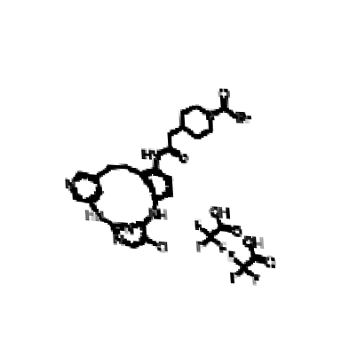 CC(C)C(=O)N1CCC(CC(=O)Nc2ccc3cc2CCc2cncc(c2)Nc2ncc(Cl)c(n2)N3)CC1.O=C(O)C(F)(F)F.O=C(O)C(F)(F)F